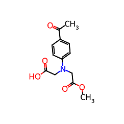 COC(=O)CN(CC(=O)O)c1ccc(C(C)=O)cc1